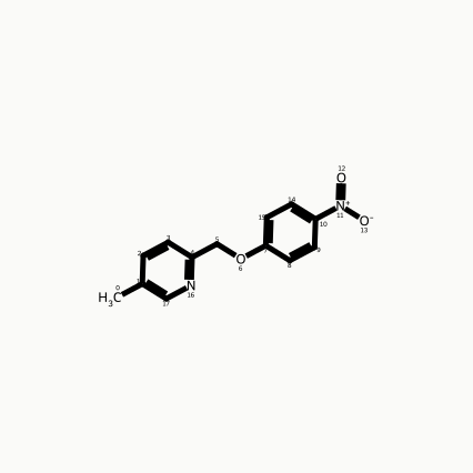 Cc1ccc(COc2ccc([N+](=O)[O-])cc2)nc1